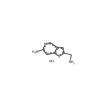 Cl.NCc1cc2cnc(N)cc2s1